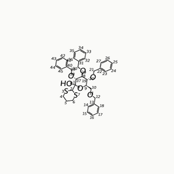 OC1(C2SCCCS2)O[C@H](COCc2ccccc2)[C@@H](OCc2ccccc2)[C@H](OCc2ccccc2)[C@H]1OCc1ccccc1